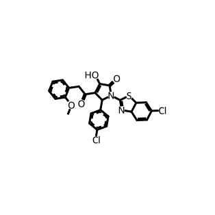 COc1ccccc1CC(=O)C1=C(O)C(=O)N(C2=NC3C=CC(Cl)=CC3S2)C1c1ccc(Cl)cc1